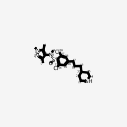 Cc1nn(C)c(C)c1N(C)[S+]([O-])c1c(Cl)cc(CCCC2CCNCC2)cc1Cl